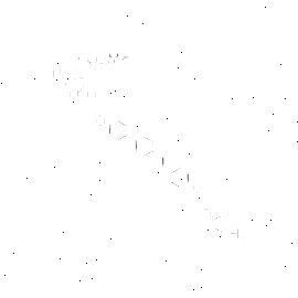 C=CC(=O)OCCOc1ccc(/C=C/c2ccc(-c3ccc(OCCOC(=O)C(=C)CC(=O)OC)cc3)cc2)cc1